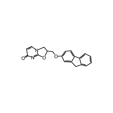 O=c1ccn2c(n1)OC(COc1ccc3c(c1)Cc1ccccc1-3)C2